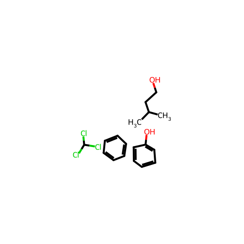 CC(C)CCO.ClC(Cl)Cl.Oc1ccccc1.c1ccccc1